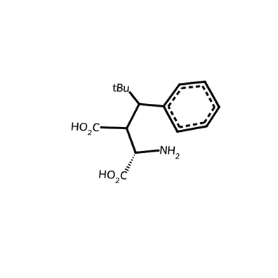 CC(C)(C)C(c1ccccc1)C(C(=O)O)[C@H](N)C(=O)O